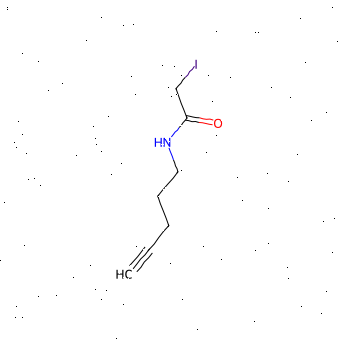 C#CCCCNC(=O)CI